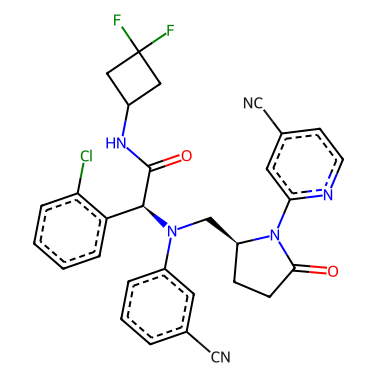 N#Cc1cccc(N(C[C@@H]2CCC(=O)N2c2cc(C#N)ccn2)[C@H](C(=O)NC2CC(F)(F)C2)c2ccccc2Cl)c1